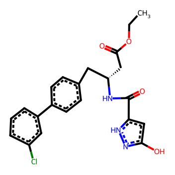 CCOC(=O)C[C@@H](Cc1ccc(-c2cccc(Cl)c2)cc1)NC(=O)c1cc(O)n[nH]1